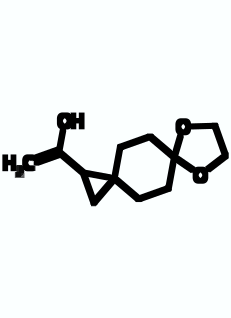 C=C(O)C1CC12CCC1(CC2)OCCO1